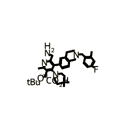 Cc1cc(F)ccc1CN1CCc2cc(-c3c(CN)nc(C)c([C@H](OC(C)(C)C)C(=O)O)c3N3CCC(C)(C)CC3)ccc2C1